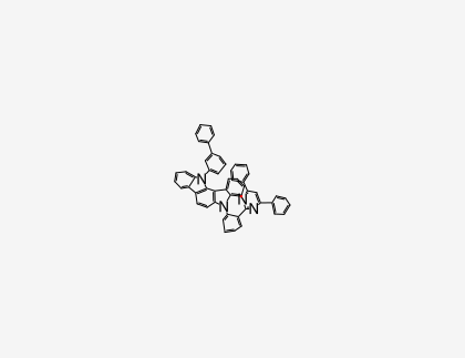 c1ccc(-c2cccc(-n3c4ccccc4c4ccc5c(c6ccccc6n5-c5ccccc5-c5nc(-c6ccccc6)cc(-c6ccccc6)n5)c43)c2)cc1